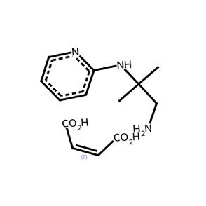 CC(C)(CN)Nc1ccccn1.O=C(O)/C=C\C(=O)O